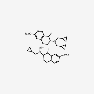 CCCN(CC1CC1)C1CCc2ccc(OC)cc2C1C.COc1ccc2c(c1)CCC(N(CC1CC1)CC1CC1)C2C